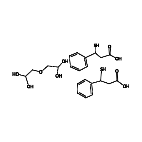 O=C(O)CC(S)c1ccccc1.O=C(O)CC(S)c1ccccc1.OC(O)COCC(O)O